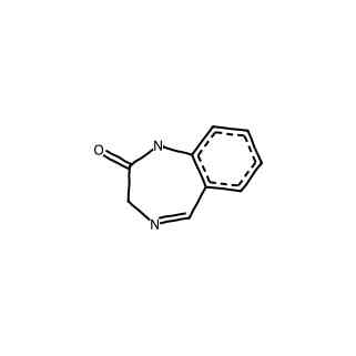 O=C1CN=Cc2ccccc2[N]1